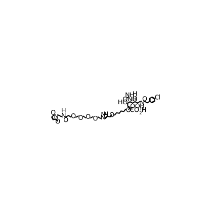 NC(=O)N[C@H]1[C@H]([C@H](O)[C@H](O)CNC(=O)Cc2ccc(Cl)cc2)O[C@@](OCCCCCCOCc2cn(CCOCCOCCOCCOCCC(=O)NCCN3C(=O)C=CC3=O)nn2)(C(=O)O)C[C@@H]1O